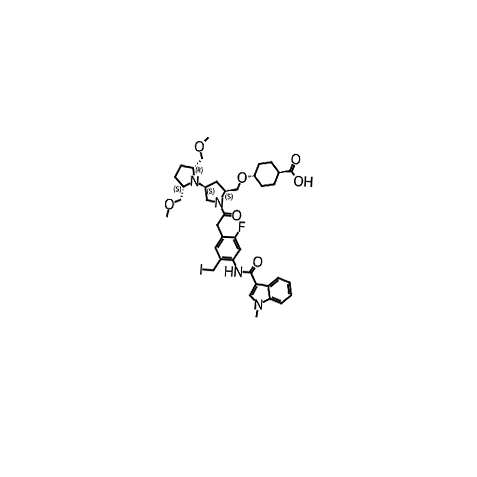 COC[C@H]1CC[C@@H](COC)N1[C@H]1C[C@@H](CO[C@H]2CC[C@H](C(=O)O)CC2)N(C(=O)Cc2cc(CI)c(NC(=O)c3cn(C)c4ccccc34)cc2F)C1